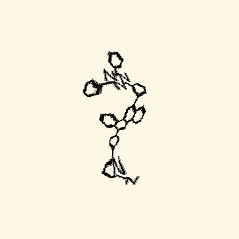 N#Cc1cccc(-c2ccc(-c3cc4c5ccccc5c(-c5cccc(-c6nc(-c7ccccc7)nc(-c7ccccc7)n6)c5)cc4c4ccccc34)cc2)n1